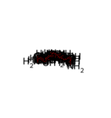 C[C@H](N)C(=O)N[C@@H](CCC(=O)O)C(=O)N[C@@H](CC(=O)O)C(=O)NCC(=O)N[C@@H](CC(=O)O)C(=O)N[C@@H](C)C(=O)N[C@@H](CCCCN)C(=O)N[C@H](C(=O)N[C@@H](CC(=O)O)C(=O)N[C@@H](CCC(N)=O)C(=O)N[C@@H](C)C(=O)N[C@@H](CCC(=O)O)C(=O)N[C@@H](CCCCN)C(=O)N[C@@H](C)C(=O)N[C@@H](CCC(=O)O)C(=O)NCC(=O)N[C@@H](C)C(=O)NCC(=O)N[C@@H](CC(=O)O)C(=O)N[C@@H](C)C(=O)N[C@@H](CCCCN)C(=O)O)[C@@H](C)O